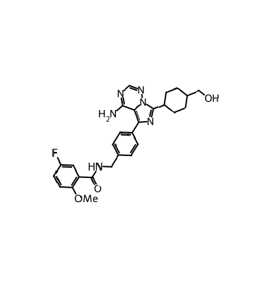 COc1ccc(F)cc1C(=O)NCc1ccc(-c2nc(C3CCC(CO)CC3)n3ncnc(N)c23)cc1